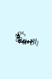 C=C(N)C1CN(c2ncc(N3CC[C@@H](Oc4ccc(C)nc4)C3=O)cn2)C1